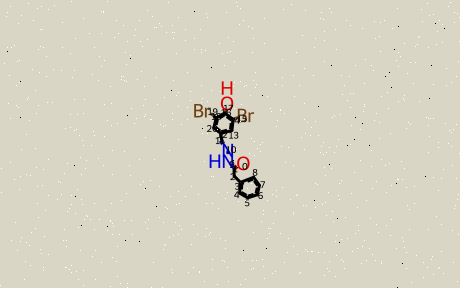 O=C(Cc1ccccc1)NN=Cc1cc(Br)c(O)c(Br)c1